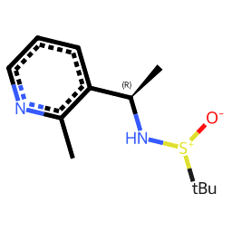 Cc1ncccc1[C@@H](C)N[S+]([O-])C(C)(C)C